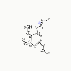 C/C=C/CC1=CC(COC)=C[C@H](OC)C1OS